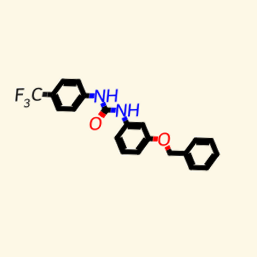 O=C(Nc1ccc(C(F)(F)F)cc1)Nc1cccc(OCc2ccccc2)c1